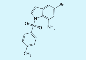 Cc1ccc(S(=O)(=O)n2ccc3cc(Br)cc(N)c32)cc1